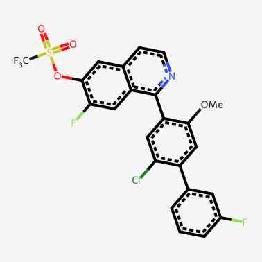 COc1cc(-c2cccc(F)c2)c(Cl)cc1-c1nccc2cc(OS(=O)(=O)C(F)(F)F)c(F)cc12